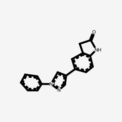 O=C1Cc2cc(-c3cnn(-c4ccccc4)c3)ccc2N1